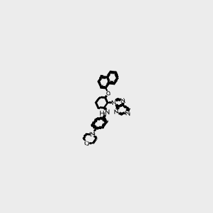 c1ccc2c(OC3CCCC(Nc4ccc(N5CCOCC5)cc4)C3n3cnc4cncnc43)cccc2c1